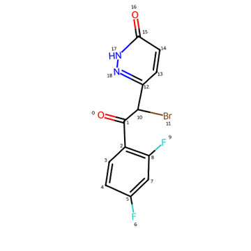 O=C(c1ccc(F)cc1F)C(Br)c1ccc(=O)[nH]n1